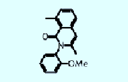 COc1ccccc1-n1c(C)cc2cccc(C)c2c1=O